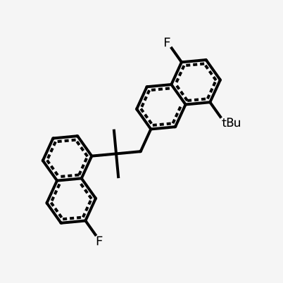 CC(C)(C)c1ccc(F)c2ccc(CC(C)(C)c3cccc4ccc(F)cc34)cc12